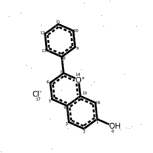 Oc1ccc2ccc(-c3ccccc3)[o+]c2c1.[Cl-]